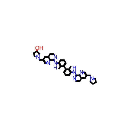 Cc1c(Nc2nccc3cc(CN4CCCC4)cnc23)cccc1-c1cccc(Nc2nccc3cc(CN4CCC(O)C4)cnc23)c1C